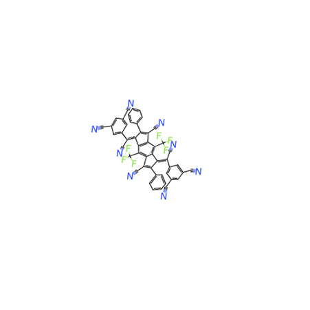 N#CC1=C(c2ccccc2)/C(=C(/C#N)c2cc(C#N)cc(C#N)c2)c2c1c(C(F)(F)F)c1c(c2C(F)(F)F)C(C#N)=C(c2ccccc2)/C1=C(/C#N)c1cc(C#N)cc(C#N)c1